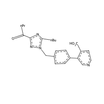 CCCCc1nc(C(=O)CCC)nn1Cc1ccc(-c2cnccc2C(=O)O)cc1